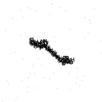 Nc1nccn2c(N3CCC4(CC3)CN(C3CCN(C5CN(c6ccc7c(c6)C(=O)N(C6CCC(=O)NC6=O)C7=O)C5)CC3)C4)nc(-c3ccc(C(=O)Nc4cc(Cl)ccn4)cc3F)c12